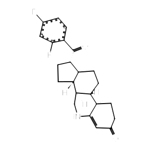 C[C@]12CC[C@H]3[C@@H](CNC4=CC(=O)CC[C@@]43C)[C@@H]1CC[C@@H]2C(=O)c1ccc(F)cc1F